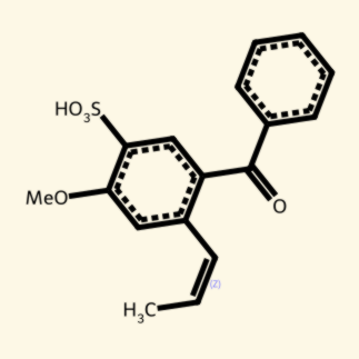 C/C=C\c1cc(OC)c(S(=O)(=O)O)cc1C(=O)c1ccccc1